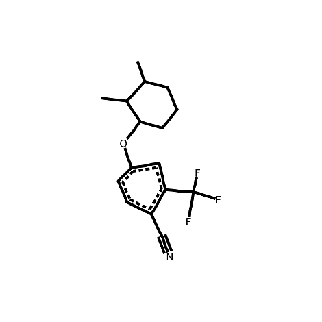 CC1CCCC(Oc2ccc(C#N)c(C(F)(F)F)c2)C1C